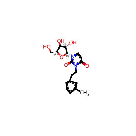 Cc1cccc(CCn2c(=O)ccn([C@@H]3O[C@H](CO)C(O)[C@@H]3O)c2=O)c1